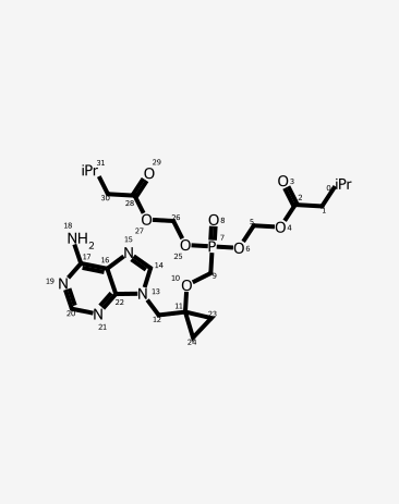 CC(C)CC(=O)OCOP(=O)(COC1(Cn2cnc3c(N)ncnc32)CC1)OCOC(=O)CC(C)C